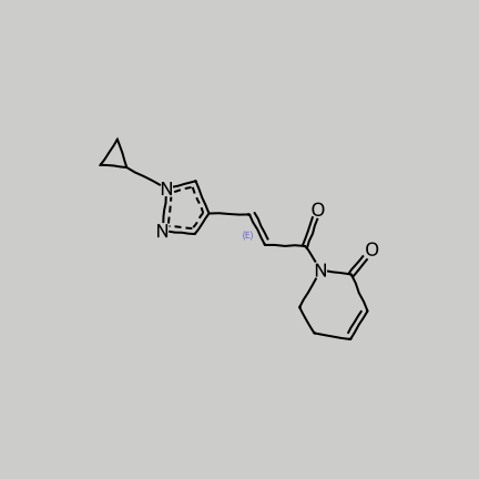 O=C1C=CCCN1C(=O)/C=C/c1cnn(C2CC2)c1